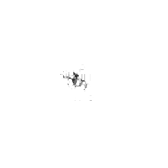 CCCCCCCCCCC[C@@H](CC(=O)N[C@H]1[C@H](OCc2ccccc2)O[C@H](CO[Si](C)(C)C(C)(C)C)[C@@H](O)[C@@H]1OC(=O)CCCCc1ccccc1)OC(=O)CCCCc1ccccc1